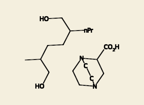 CCCC(CO)CCC(C)CO.O=C(O)C1CN2CCN1CC2